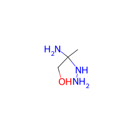 CC(N)(CO)NN